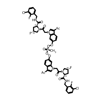 CC(=O)c1cn(CC(=O)N2C[C@H](F)C[C@H]2C(=O)NCc2cccc(Cl)c2F)c2cc(OOP(C)(=O)OOc3ccc4c(C(C)=O)cn(CC(=O)N5C[C@H](F)C[C@H]5C(=O)NCc5cccc(Cl)c5F)c4c3)ccc12